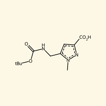 Cn1nc(C(=O)O)cc1CNC(=O)OC(C)(C)C